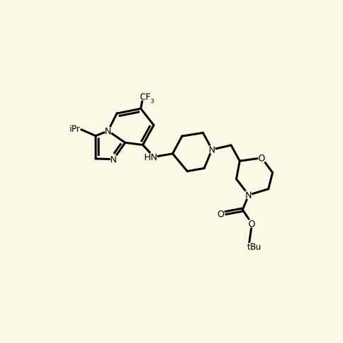 CC(C)c1cnc2c(NC3CCN(CC4CN(C(=O)OC(C)(C)C)CCO4)CC3)cc(C(F)(F)F)cn12